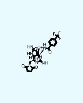 N=C1N[C@H]2[C@H](CN3C(=O)CCC3=O)NC(=N)N3C[C@H](NC(=O)c4ccc(C(F)(F)F)cc4)C(O)(O)[C@]23N1